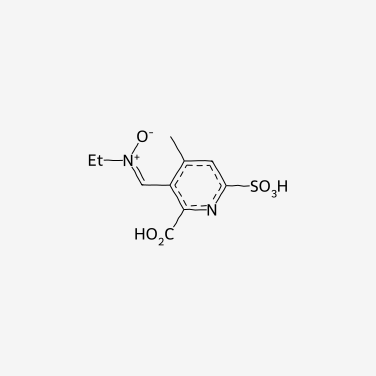 CC[N+]([O-])=Cc1c(C)cc(S(=O)(=O)O)nc1C(=O)O